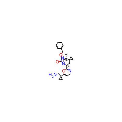 NCC1(C2=CCN=C([C@@H]3CC4(CC4)[C@@H]4CN3C(=O)N4OCc3ccccc3)O2)CC1